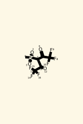 CS(=O)(=O)C(C(=O)C(F)(F)F)C(=O)C(F)(F)F